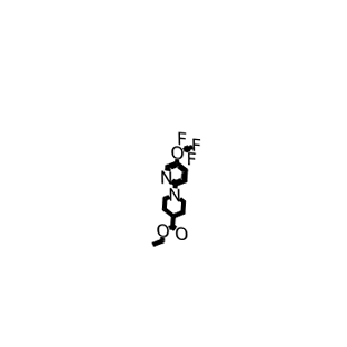 CCOC(=O)C1CCN(c2ccc(OC(F)(F)F)cn2)CC1